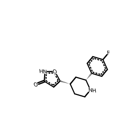 O=c1cc([C@H]2CCN[C@@H](c3ccc(F)cc3)C2)o[nH]1